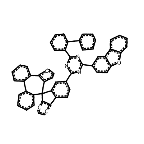 c1ccc(-c2ccccc2-c2nc(-c3ccc4c(c3)C3(c5ccccc5-c5ccccc5-c5ccccc53)c3ccccc3-4)nc(-c3ccc4oc5ccccc5c4c3)n2)cc1